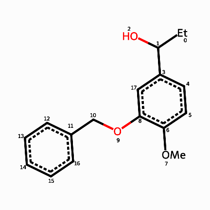 CCC(O)c1ccc(OC)c(OCc2ccccc2)c1